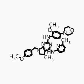 COc1ccc(CN2CC(C)c3c(Nc4cccc(C)n4)nc(Nc4ccc(N5CCOCC5)cc4OC)nc32)cc1